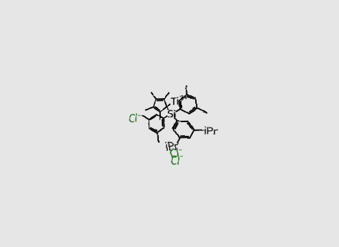 CC1=C(C)[C]([Ti+3])([Si](c2cc(C)cc(C)c2)(c2cc(C)cc(C)c2)c2cc(C(C)C)cc(C(C)C)c2)C(C)=C1C.[Cl-].[Cl-].[Cl-]